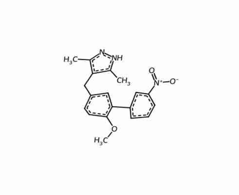 COc1ccc(Cc2c(C)n[nH]c2C)cc1-c1cccc([N+](=O)[O-])c1